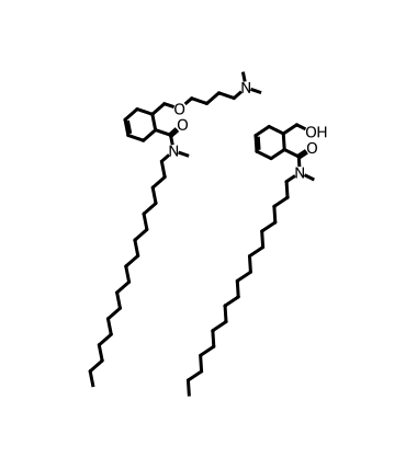 CCCCCCCCCCCCCCCCCCN(C)C(=O)C1CC=CCC1CO.CCCCCCCCCCCCCCCCCCN(C)C(=O)C1CC=CCC1COCCCCN(C)C